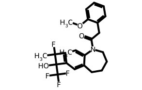 C/C=C1\C(=C/C2=CC(C)(F)C2(O)C(F)(F)F)CCCCN1C(=O)Cc1ccccc1OC